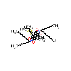 CCCCCCCCCCCCC(CCCCCCCCCC)CN1C(=O)c2ccc3c4c(C(C)(C)C)cc5c6c(ccc(c7c(-c8cc9sc%10cc(C(C)(C)C)sc%10c9s8)cc(c2c37)C1=O)c64)C(=O)N(CC(CCCCCCCCCC)CCCCCCCCCCCC)C5=O